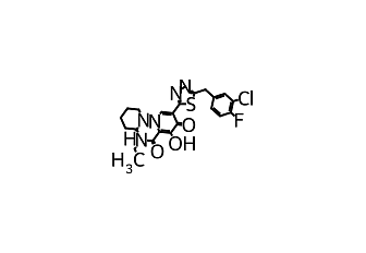 CCN1C(=O)c2c(O)c(=O)c(-c3nnc(Cc4ccc(F)c(Cl)c4)s3)cn2N2CCCC[C@@H]12